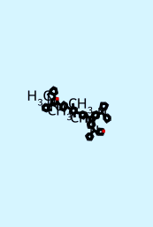 Cc1cc(-c2ccc(-n3c4ccc(N(c5ccccc5)c5ccccc5)cc4c4cc(N(c5ccccc5)c5ccccc5)ccc43)cc2)c(C)cc1-c1ccc(-c2cc(-c3ccccc3C)nc(-c3ccccc3C)n2)cc1